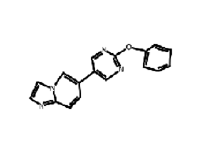 c1ccc(Oc2ncc(-c3ccc4nccn4c3)cn2)cc1